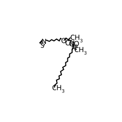 CCCCCCCCCCCCCCCCCCN(C)C(=O)OCC(C)(CC)COCCCCCCCN1C=CSC1